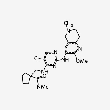 CNC(=O)C1(CNc2nc(Nc3cc4c(nc3OC)CCN(C)C4)ncc2Cl)CCCC1